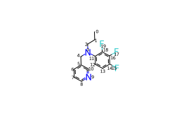 CCCN(Cc1cccnc1)c1ccc(F)c(F)c1F